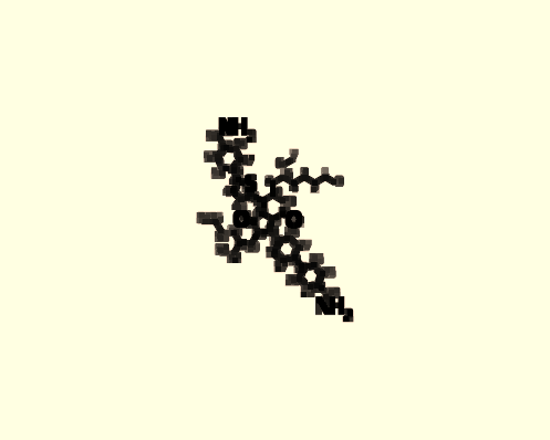 CCCCCC(CC)CC1CC(=O)C2=C(c3c#cc(-c4ccc(CN)cc4)cc3)C(CC(CC)CCCC)C(=O)C2=C1c1ccc(-c2ccc(CN)cc2)s1